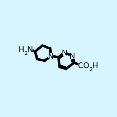 NC1CCN(c2ccc(C(=O)O)nn2)CC1